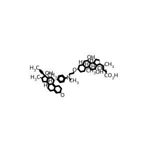 CC#C[C@@]1(O)[C@H](C)C[C@H]2[C@@H]3CCC4=CC(=O)CCC4=C3[C@@H](c3ccc(N(C)CCO[C@H]4CC[C@@]5(C)[C@@H](C4)C[C@@H](O)[C@@H]4[C@@H]5C[C@H](O)[C@]5(C)[C@@H]([C@H](C)CCC(=O)O)CC[C@@H]45)cc3)C[C@@]21C